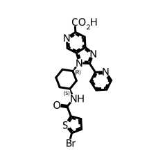 O=C(O)c1cc2nc(-c3ccccn3)n([C@@H]3CCC[C@H](NC(=O)c4ccc(Br)s4)C3)c2cn1